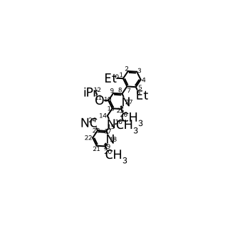 CCc1cccc(CC)c1-c1cc(OC(C)C)c(CN(C)c2nc(C)ccc2C#N)c(C)n1